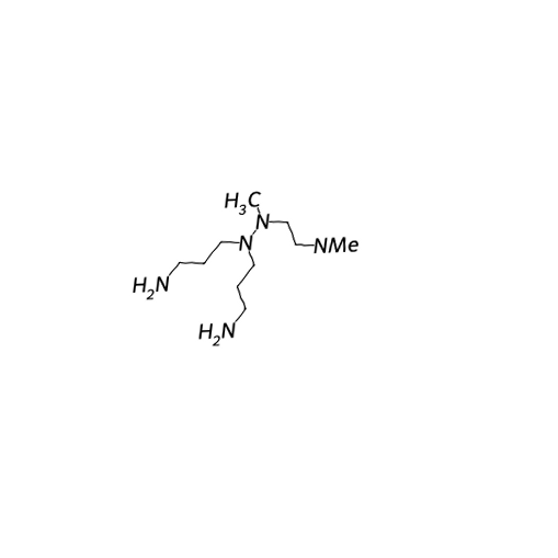 CNCCN(C)N(CCCN)CCCN